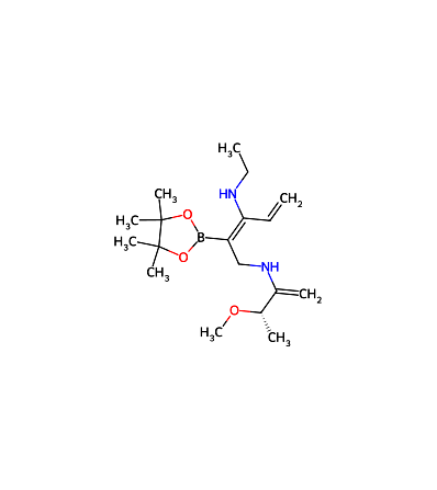 C=CC(NCC)=C(CNC(=C)[C@H](C)OC)B1OC(C)(C)C(C)(C)O1